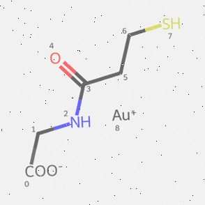 O=C([O-])CNC(=O)CCS.[Au+]